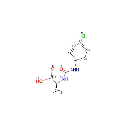 C[C@H](NC(=O)NC1C=CC(Cl)=CC1)C(=O)O